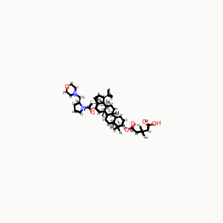 C=C(C)[C@@H]1CC[C@]2(CC(=O)N3CCC[C@H]3CN3CCOCC3)CC[C@]3(C)[C@H](CC[C@@H]4[C@@]5(C)CC[C@H](OC(=O)CC(C)(C)CC(=O)O)C(C)(C)[C@@H]5CC[C@]43C)[C@@H]12